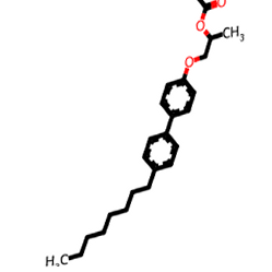 CCCCCCCCc1ccc(-c2ccc(OCC(C)OC(=O)CC)cc2)cc1